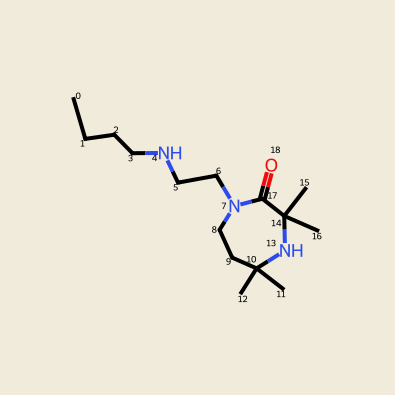 CCCCNCCN1CCC(C)(C)NC(C)(C)C1=O